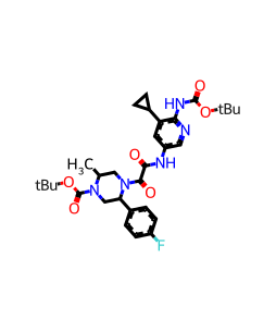 CC1CN(C(=O)C(=O)Nc2cnc(NC(=O)OC(C)(C)C)c(C3CC3)c2)C(c2ccc(F)cc2)CN1C(=O)OC(C)(C)C